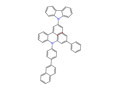 c1ccc(-c2cccc(N(c3ccc(-c4ccc5ccccc5c4)cc3)c3ccccc3-c3cccc(-n4c5ccccc5c5ccccc54)c3)c2)cc1